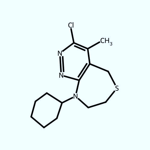 Cc1c(Cl)nnc2c1CSCCN2C1CCCCC1